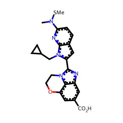 CSN(C)c1ccc2cc(-c3nc4cc(C(=O)O)cc5c4n3CCO5)n(CC3CC3)c2n1